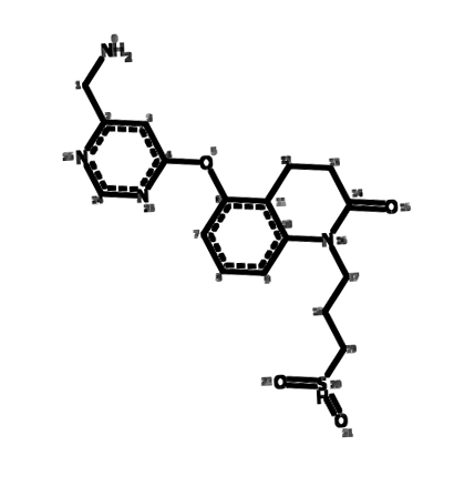 NCc1cc(Oc2cccc3c2CCC(=O)N3CCC[SH](=O)=O)ncn1